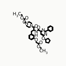 CCOC(=O)COc1cccc(CC(NC(=O)c2cc(OC3CCCC3)nc(-c3ccccc3)n2)C(=O)N2CCN(OC(=O)OCC)CC2)c1